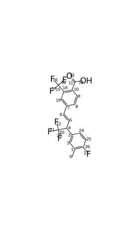 Cc1cc(C(C=Cc2ccc(C(=O)O)c(C(F)(F)F)c2)C(F)(F)F)ccc1F